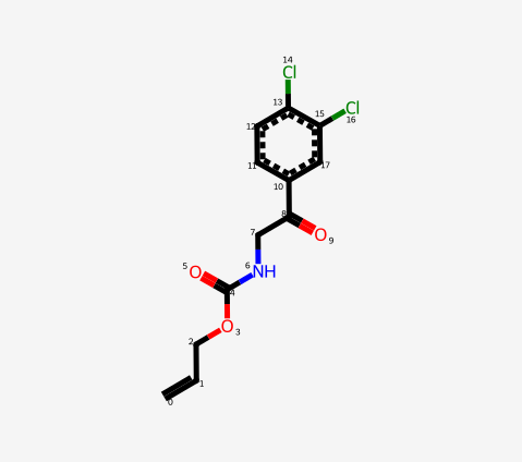 C=CCOC(=O)NCC(=O)c1ccc(Cl)c(Cl)c1